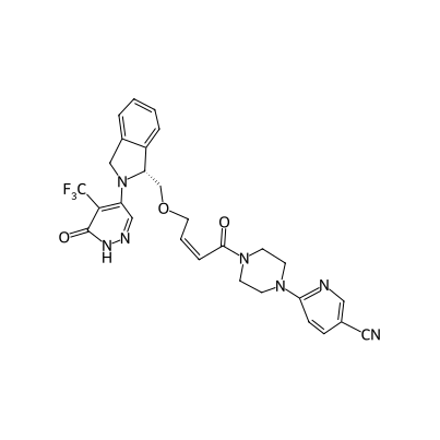 N#Cc1ccc(N2CCN(C(=O)/C=C\COC[C@H]3c4ccccc4CN3c3cn[nH]c(=O)c3C(F)(F)F)CC2)nc1